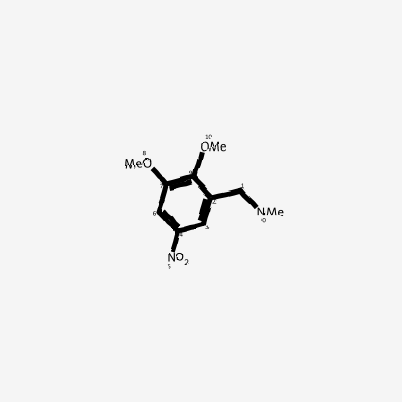 CNCc1cc([N+](=O)[O-])cc(OC)c1OC